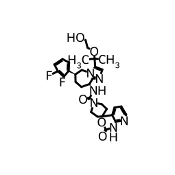 CC(C)(OCCO)c1cnc2n1C[C@H](c1cccc(F)c1F)CC[C@H]2NC(=O)N1CCC2(CC1)OC(=O)Nc1ncccc12